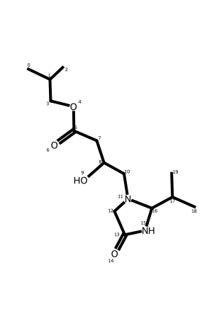 CC(C)COC(=O)CC(O)CN1CC(=O)NC1C(C)C